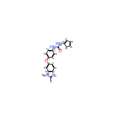 Cc1nc2ccc(Oc3ccc(NC(=O)NC4=CC=CC4)cc3)cc2n1C